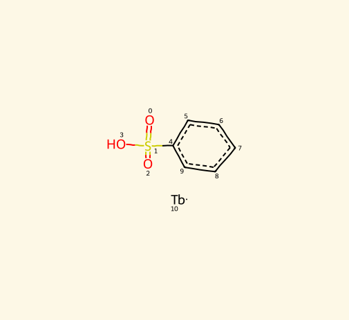 O=S(=O)(O)c1ccccc1.[Tb]